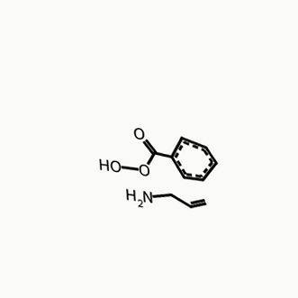 C=CCN.O=C(OO)c1ccccc1